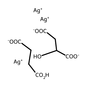 O=C([O-])CC(O)C(=O)[O-].O=C([O-])CCC(=O)O.[Ag+].[Ag+].[Ag+]